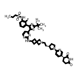 CCCS(=O)(=O)Nc1cccc(-c2nc(C(C)(C)C)sc2-c2ccnc(NC3CC4(C3)CN(CC[C@H]3CCN(c5ccc([C@@H]6CCC(=O)NC6=O)cn5)C3)C4)n2)c1F